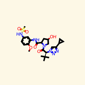 COc1ccc(NS(C)(=O)=O)cc1NC(=O)C1CC(O)CN1C(=O)[C@@H](n1cc(C2CC2)nn1)C(C)(C)C